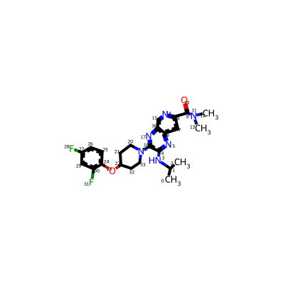 CC(C)Nc1nc2cc(C(=O)N(C)C)ncc2nc1N1CCC(Oc2ccc(F)cc2F)CC1